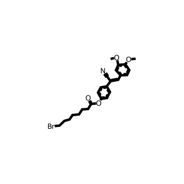 COc1ccc(C=C(C#N)c2ccc(OC(=O)CCCCCCCBr)cc2)cc1OC